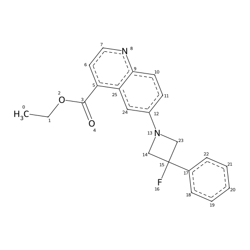 CCOC(=O)c1ccnc2ccc(N3CC(F)(c4ccccc4)C3)cc12